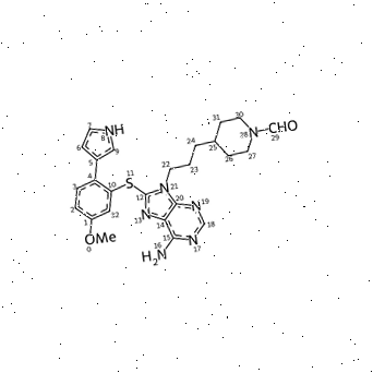 COc1ccc(-c2cc[nH]c2)c(Sc2nc3c(N)ncnc3n2CCCC2CCN(C=O)CC2)c1